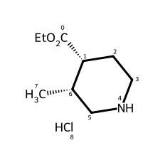 CCOC(=O)[C@@H]1CCNC[C@@H]1C.Cl